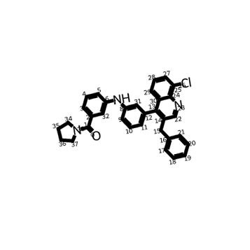 O=C(c1cccc(Nc2cccc(-c3c(Cc4ccccc4)cnc4c(Cl)cccc34)c2)c1)N1CCCC1